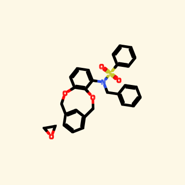 C1CO1.O=S(=O)(c1ccccc1)N(Cc1ccccc1)c1cccc2c1OCc1cccc(c1)CO2